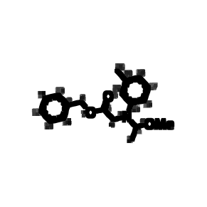 COC(C)N(CC(=O)OCc1ccccc1)c1cccc(C)c1